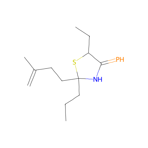 C=C(C)CCC1(CCC)NC(=P)C(CC)S1